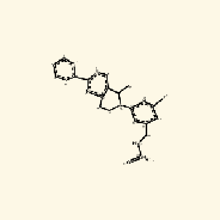 CC1c2cnc(-c3ncccn3)nc2CCN1c1cc(CN[SH](=O)=O)cc(F)n1